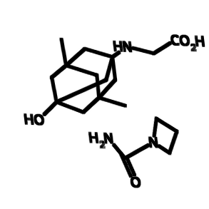 CC12CC3(C)CC(O)(C1)CC(NCC(=O)O)(C2)C3.NC(=O)N1CCC1